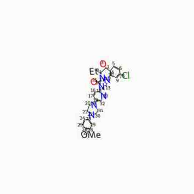 CCC(C(=O)c1ccc(Cl)cc1)n1ncn(-c2ccc(N3CCN(c4ccc(OC)cc4)CC3)cn2)c1=O